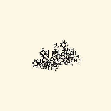 CC[C@H](C)[C@@H]([C@@H](CC(=O)N1CCC[C@H]1[C@H](OC)[C@@H](C)C(=O)N[C@@H](Cc1c[nH]c2ccccc12)C(O)N1CCCCO1)OC)N(C)C(=O)[C@@H](NC(=O)[C@H](C(C)C)N(C)C[C@@H](N)Cc1ccccc1)C(C)C